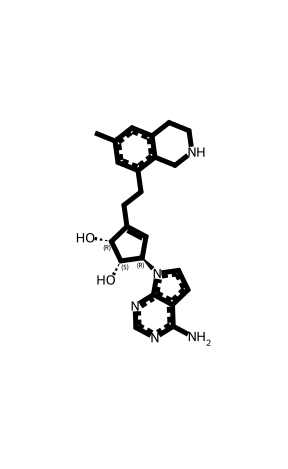 Cc1cc2c(c(CCC3=C[C@@H](n4ccc5c(N)ncnc54)[C@H](O)[C@@H]3O)c1)CNCC2